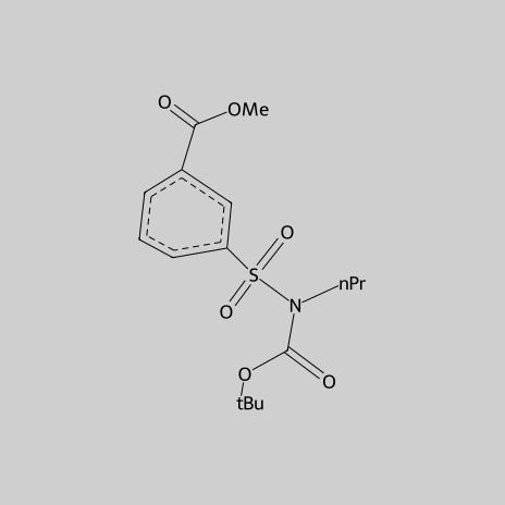 CCCN(C(=O)OC(C)(C)C)S(=O)(=O)c1cccc(C(=O)OC)c1